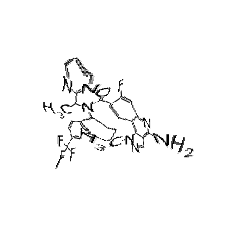 CC(c1ncccn1)N(C(=O)c1cc2c(cc1F)nc(N)c1cnn(C)c12)C1CCc2cc(C(F)(F)F)ccc21